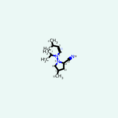 CC(C)/C=C\N(C(C)C)N1CC(C)CC1C#N